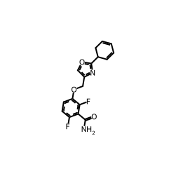 NC(=O)c1c(F)ccc(OCc2coc(C3C=CC=CC3)n2)c1F